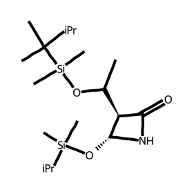 CC(O[Si](C)(C)C(C)(C)C(C)C)[C@H]1C(=O)N[C@@H]1O[Si](C)(C)C(C)C